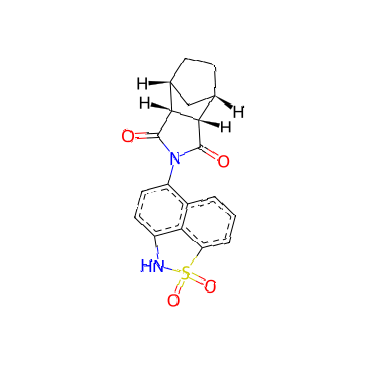 O=C1[C@@H]2[C@@H]3CC[C@@H](C3)[C@@H]2C(=O)N1c1ccc2c3c(cccc13)S(=O)(=O)N2